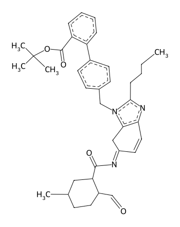 CCCCc1nc2c(n1Cc1ccc(-c3ccccc3C(=O)OC(C)(C)C)cc1)CC(=NC(=O)C1CC(C)CCC1C=O)C=C2